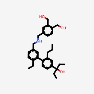 CCCc1cc(C(O)(CC)CC)ccc1-c1cc(CNCc2ccc(CO)c(CO)c2)ccc1CC